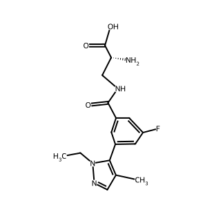 CCn1ncc(C)c1-c1cc(F)cc(C(=O)NC[C@@H](N)C(=O)O)c1